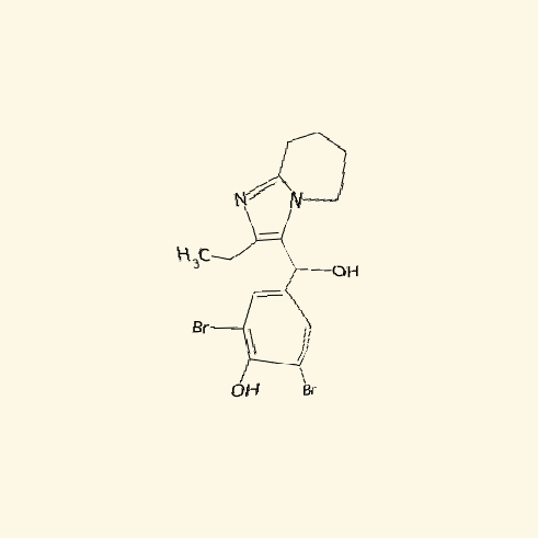 CCc1nc2n(c1C(O)c1cc(Br)c(O)c(Br)c1)CCCC2